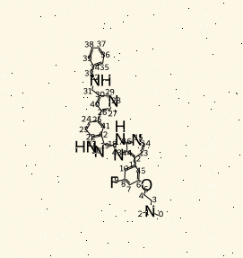 CN(C)CCOc1cc(F)cc(-c2ccnc3[nH]c(-c4n[nH]c5ccc(-c6cncc(CNCc7ccccc7)c6)cc45)nc23)c1